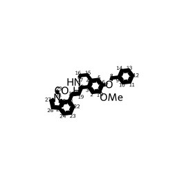 COc1cc2c(cc1OCc1ccccc1)CCNC2/C=C/c1cccc2ccn(C(=O)O)c12